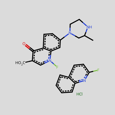 CC1CN(c2ccc3c(=O)c(C(=O)O)cn(F)c3c2)CCN1.Cl.Fc1ccc2ccccc2n1